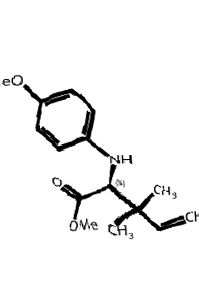 C=CC(C)(C)[C@H](Nc1ccc(OC)cc1)C(=O)OC